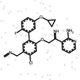 C=NCc1cc(-c2cc(OC3CC3)ccc2F)c(OCC(=N)c2cccnc2N)cc1Cl